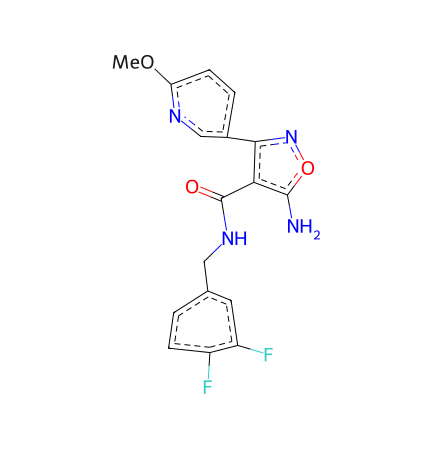 COc1ccc(-c2noc(N)c2C(=O)NCc2ccc(F)c(F)c2)cn1